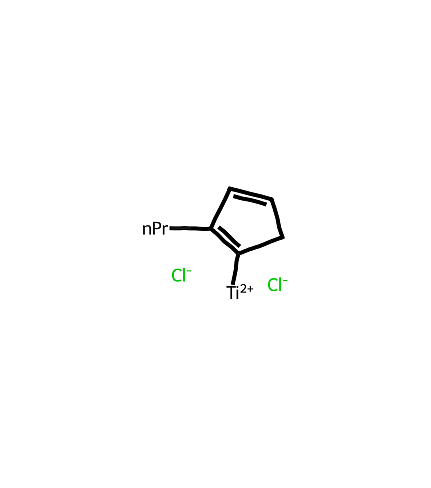 CCCC1=[C]([Ti+2])CC=C1.[Cl-].[Cl-]